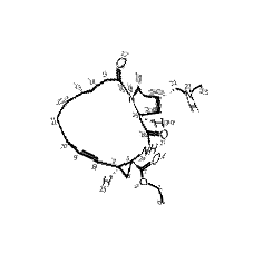 CCOC(=O)[C@@]12C[C@H]1/C=C\CCCCCCC(=O)N1C[C@H](CNC)C[C@H]1C(=O)N2